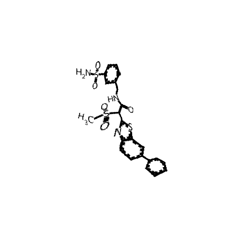 CS(=O)(=O)C(C(=O)NCc1cccc(S(N)(=O)=O)c1)c1nc2ccc(-c3ccccc3)cc2s1